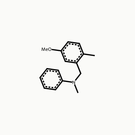 COc1ccc(C)c(CN(C)c2ccccc2)c1